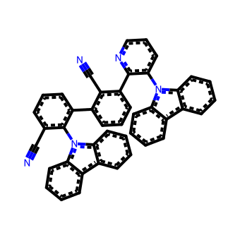 N#Cc1cccc(-c2cccc(-c3ncccc3-n3c4ccccc4c4ccccc43)c2C#N)c1-n1c2ccccc2c2ccccc21